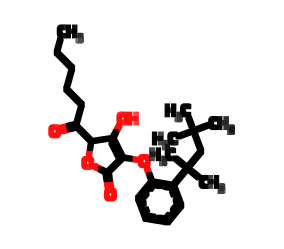 CCCCCC(=O)C1OC(=O)C(Oc2ccccc2C(C)(C)CC(C)(C)C)=C1O